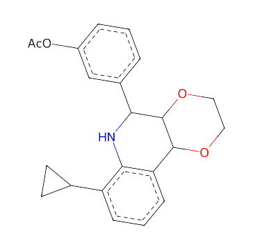 CC(=O)Oc1cccc(C2Nc3c(C4CC4)cccc3C3OCCOC23)c1